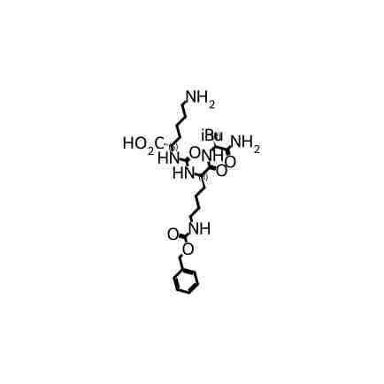 CC[C@@H](C)C(NC(=O)[C@@H](CCCCNC(=O)OCc1ccccc1)NC(=O)N[C@@H](CCCCN)C(=O)O)C(N)=O